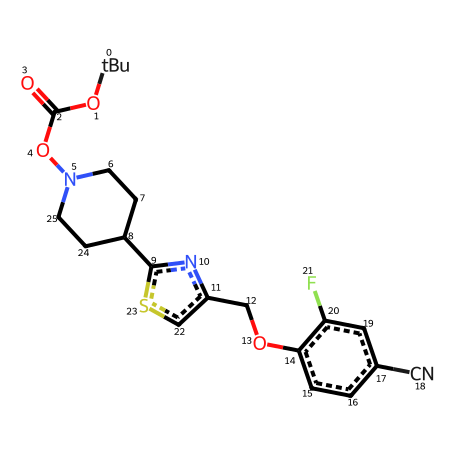 CC(C)(C)OC(=O)ON1CCC(c2nc(COc3ccc(C#N)cc3F)cs2)CC1